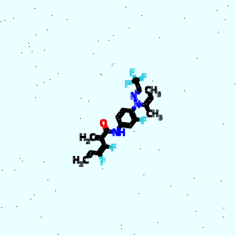 C=C/C(F)=C(/F)C(=C)C(=O)Nc1ccc(N(/N=C/C(F)(F)F)/C(C)=C\C)c(F)c1